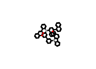 c1c(-c2ccccc2N(c2cccc(-c3cccc(-n4c5ccccc5c5ccc6ccccc6c54)c3)c2)c2ccc(-c3cccc4ccccc34)c3ccccc23)cc2ccccc2c#1